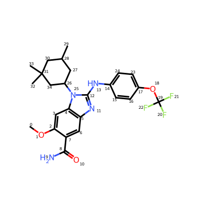 COc1cc2c(cc1C(N)=O)nc(Nc1ccc(OC(F)(F)F)cc1)n2C1CC(C)CC(C)(C)C1